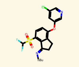 CCCCN=C1CCc2c(Oc3cncc(Cl)c3)ccc(S(=O)(=O)C(F)F)c21